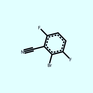 N#Cc1c(F)ccc(F)c1Br